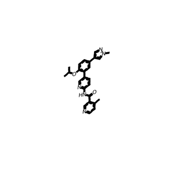 Cc1ccncc1C(=O)Nc1ccc(-c2cc(-c3cnn(C)c3)ccc2OC(C)C)cn1